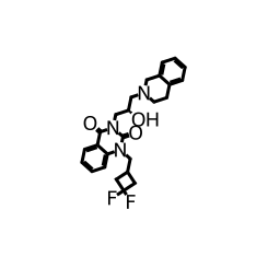 O=c1c2ccccc2n(CC2CC(F)(F)C2)c(=O)n1C[C@H](O)CN1CCc2ccccc2C1